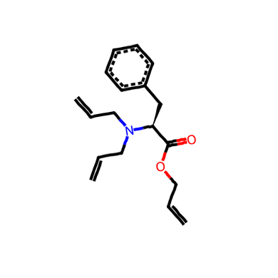 C=CCOC(=O)[C@H](Cc1ccccc1)N(CC=C)CC=C